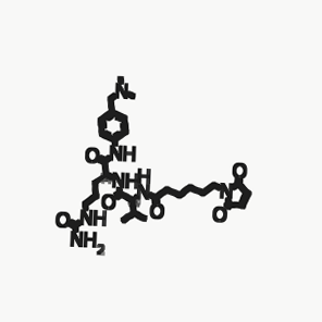 CC(C)[C@H](NC(=O)CCCCCN1C(=O)C=CC1=O)C(=O)N[C@@H](CCCNC(N)=O)C(=O)Nc1ccc(CN(C)C)cc1